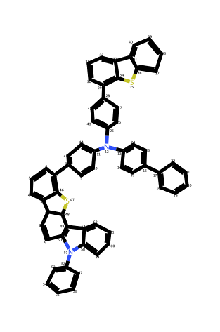 C1=CC2c3cccc(-c4ccc(N(c5ccc(-c6ccccc6)cc5)c5ccc(-c6cccc7c6sc6ccccc67)cc5)cc4)c3SC2c2c1n(-c1ccccc1)c1ccccc21